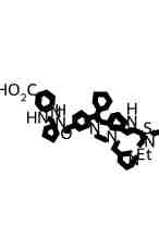 CCN1CCCC(CCN2CCn3c(c(C4CCCCC4)c4ccc(C(=O)NC5(c6nc7ccc(C(=O)O)cc7[nH]6)CCCC5)cc43)-c3ccc4[nH]c(-c5sc(C)nc5C)cc4c32)C1